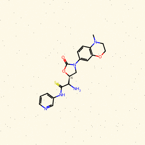 CN1CCOc2cc(N3C[C@@H](C(N)C(=S)Nc4cccnc4)OC3=O)ccc21